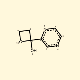 OC1(c2[c]nccn2)CCO1